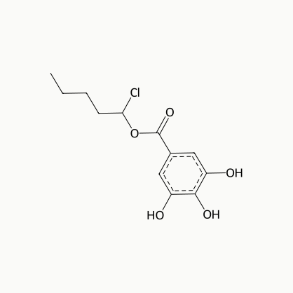 CCCCC(Cl)OC(=O)c1cc(O)c(O)c(O)c1